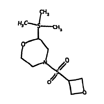 CS(C)(C)C1CN(S(=O)(=O)C2COC2)CCO1